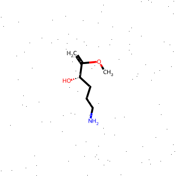 C=C(OC)[C@@H](O)CCCN